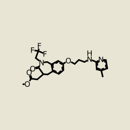 COC(=O)CC1Cc2ccc(OCCCNc3cc(C)ccn3)cc2CN(CC(F)(F)F)C1=O